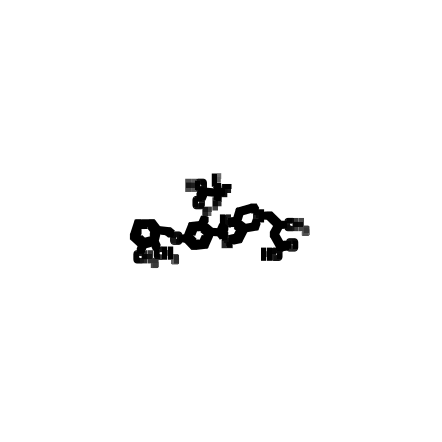 Cc1cccc(COc2ccc(-c3ncc4c(n3)CCN(CC(C)CC(=O)O)C4)c(F)c2)c1C.O=C(O)C(F)(F)F